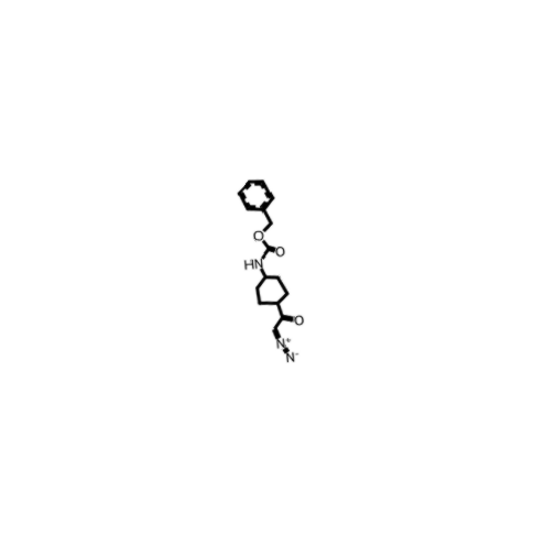 [N-]=[N+]=CC(=O)C1CCC(NC(=O)OCc2ccccc2)CC1